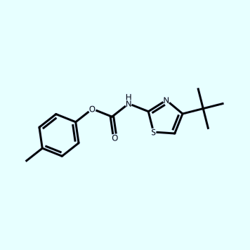 Cc1ccc(OC(=O)Nc2nc(C(C)(C)C)cs2)cc1